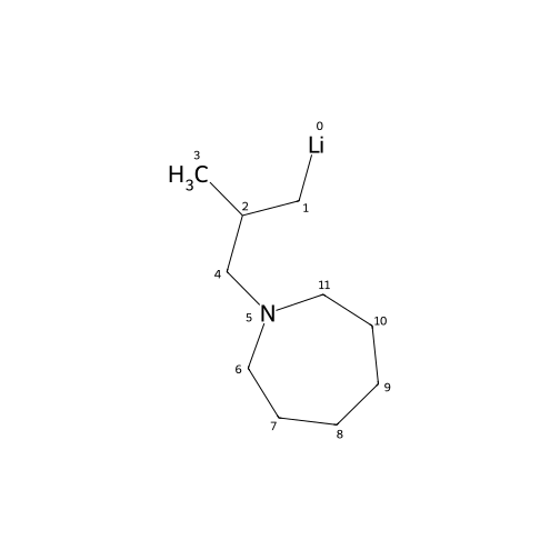 [Li][CH2]C(C)CN1CCCCCC1